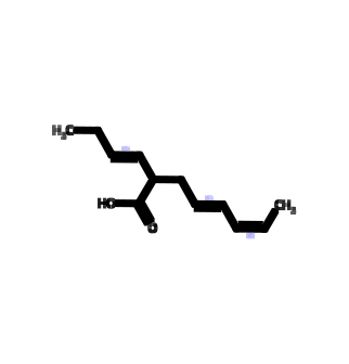 C/C=C\C=C\CC(/C=C/CC)C(=O)O